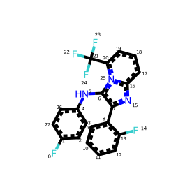 Fc1ccc(Nc2c(-c3ccccc3F)nc3cccc(C(F)(F)F)n23)cc1